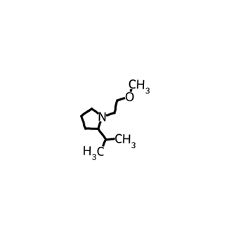 COCCN1CCCC1C(C)C